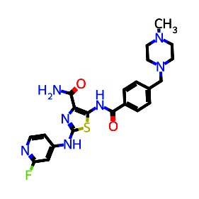 CN1CCN(Cc2ccc(C(=O)Nc3sc(Nc4ccnc(F)c4)nc3C(N)=O)cc2)CC1